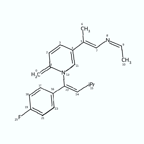 C=C1C=CC(/C(C)=C/N=C\C)=CN1/C(=C\C(C)C)c1ccc(F)cc1